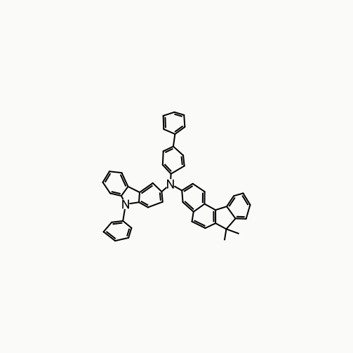 CC1(C)c2ccccc2-c2c1ccc1cc(N(c3ccc(-c4ccccc4)cc3)c3ccc4c(c3)c3ccccc3n4-c3ccccc3)ccc21